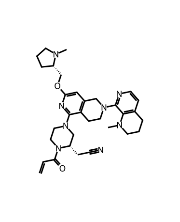 C=CC(=O)N1CCN(c2nc(OC[C@@H]3CCCN3C)cc3c2CCN(c2nccc4c2N(C)CCC4)C3)C[C@@H]1CC#N